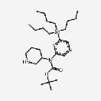 CCC[CH2][Sn]([CH2]CCC)([CH2]CCC)[c]1cncc(N(C(=O)OC(C)(C)C)C2CCCNC2)n1